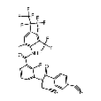 Cc1cc(C(F)(C(F)(F)F)C(F)(F)F)cc(C(F)(F)F)c1NC(=O)c1cccc(N(CC#N)C(=O)c2ccc(C#N)cc2)c1F